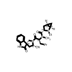 CCN1[C@@H]2C[C@@H]2C[C@H]1C(=O)N(C)[C@@H](CC(C)C)C(=O)N1C[C@]2(C[C@H]1C#N)C(=O)Nc1ccccc12